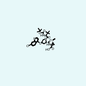 C=C[C@@H]1C[C@]1(NC(=O)[C@@H]1C[C@@H](Oc2ccnc3cc(Cl)ccc23)CN1C(=O)[C@@H](NC(=O)OC(C)(C)C)C(C)(C)C)C(=O)O